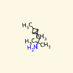 CC1C2C(C)C1C2CC(C)(C)N